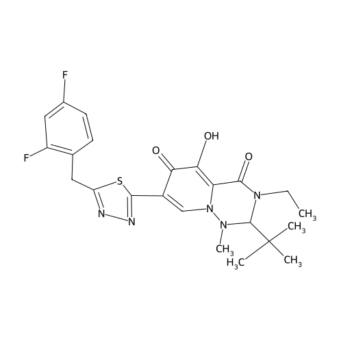 CCN1C(=O)c2c(O)c(=O)c(-c3nnc(Cc4ccc(F)cc4F)s3)cn2N(C)C1C(C)(C)C